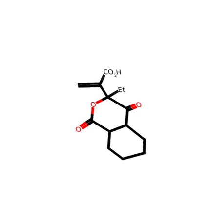 C=C(C(=O)O)C1(CC)OC(=O)C2CCCCC2C1=O